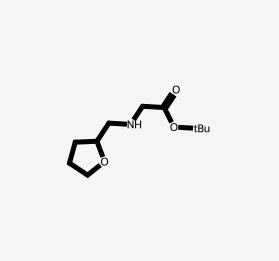 CC(C)(C)OC(=O)CNCC1CCCO1